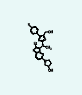 CCc1nc2ccc(N3CCC(O)C3)nn2c1N(C)c1nc(-c2ccc(F)cc2)c(CO)s1